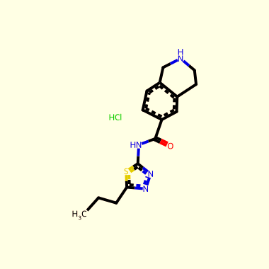 CCCc1nnc(NC(=O)c2ccc3c(c2)CCNC3)s1.Cl